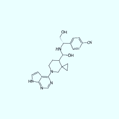 N#Cc1ccc([C@@H](CO)NC(O)C2CCN(c3ncnc4[nH]ccc34)CC23CC3)cc1